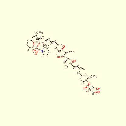 COC(CC1CCC(C)C(O)(C(=O)C(=O)N2CCCCC2C(=O)O)O1)/C(C)=C/C=C/C=C/C(C)CC(C)C(=O)C(OC)C(O)/C(C)=C/C(C)C(O)/C=C/C(C)CC1CCC(OC(=O)C(C)(CO)CO)C(OC)C1